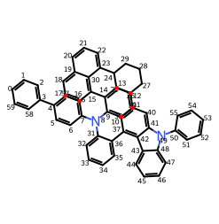 c1ccc(-c2ccc(N(c3ccccc3-c3cccc4cccc(C5CCCCC5)c34)c3ccccc3-c3cccc4c3c3ccccc3n4-c3ccccc3)cc2)cc1